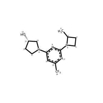 CC1CCN1c1nc(N2CC[C@H](O)C2)cc(C(F)(F)F)n1